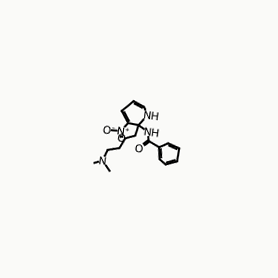 CN(C)CCCCC1(NC(=O)c2ccccc2)NC=CC=C1[N+](=O)[O-]